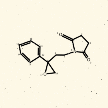 O=C1CCC(=O)N1CCC1(c2ccccc2)CO1